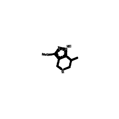 COc1noc2c1CNCC2C.Cl